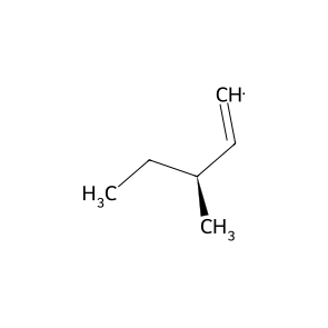 [CH]=C[C@@H](C)CC